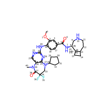 COc1cc(C(=O)N[C@H]2CNCCC3CC[C@H]32)ccc1Nc1ncc2c(n1)N(C1CCCC1)CC(F)(F)C(=O)N2C